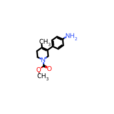 COC(=O)N1CCC(C)=C(c2ccc(N)cc2)C1